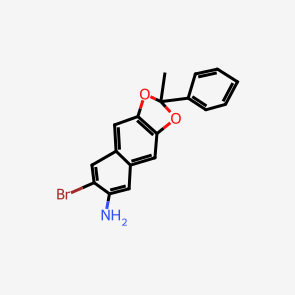 CC1(c2ccccc2)Oc2cc3cc(N)c(Br)cc3cc2O1